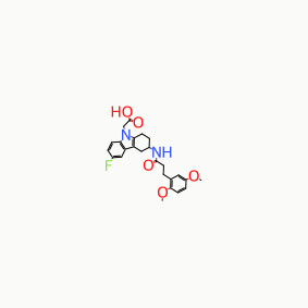 COc1ccc(OC)c(CCC(=O)NC2CCc3c(c4cc(F)ccc4n3CC(=O)O)C2)c1